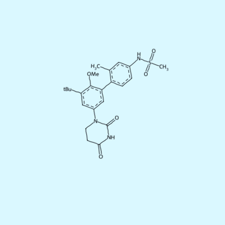 COc1c(-c2ccc(NS(C)(=O)=O)cc2C)cc(N2CCC(=O)NC2=O)cc1C(C)(C)C